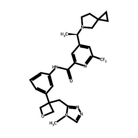 C[C@H](c1cc(C(=O)Nc2cccc(C3(Cc4nncn4C)COC3)c2)nc(C(F)(F)F)c1)N1CCC2(CC2)C1